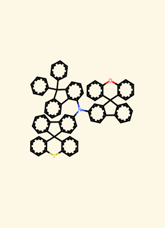 c1ccc(C2(c3ccccc3)c3ccccc3-c3c(N(c4ccc5c(c4)-c4ccccc4C54c5ccccc5Sc5ccccc54)c4ccc5c(c4)C4(c6ccccc6Oc6ccccc64)c4ccccc4-5)cccc32)cc1